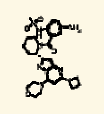 CS(=O)(=O)Nc1ccc(N)cc1C(=O)N1CCCC[C@H]1c1cc2nc(N3CCC3)cc(N3CCOCC3)n2n1